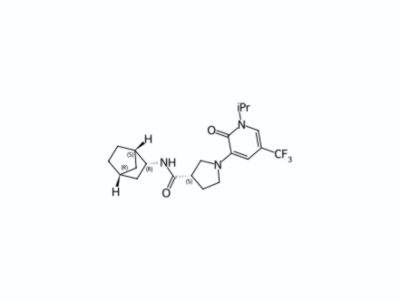 CC(C)n1cc(C(F)(F)F)cc(N2CC[C@H](C(=O)N[C@@H]3C[C@@H]4CC[C@H]3C4)C2)c1=O